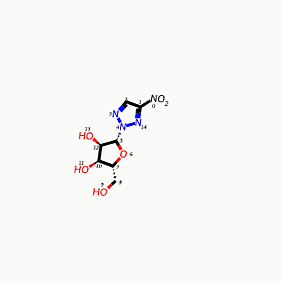 O=[N+]([O-])c1cnn([C@@H]2O[C@H](CO)[C@@H](O)[C@H]2O)n1